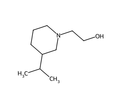 CC(C)C1CCCN(CCO)C1